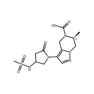 C[C@H]1Cn2ncc(N3CC(NS(C)(=O)=O)CC3=O)c2CN1C(=O)O